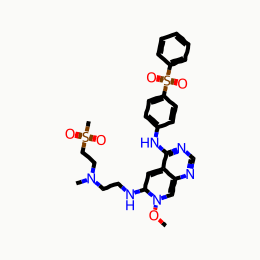 CON1C=c2ncnc(Nc3ccc(S(=O)(=O)c4ccccc4)cc3)c2=CC1NCCN(C)CCS(C)(=O)=O